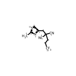 Cc1nc(CC(C#N)(C#N)CCC(F)(F)F)cs1